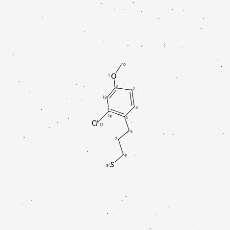 COc1ccc(CCC[S])c(Cl)c1